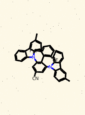 Cc1ccc2c(c1)c1ccccc1n2-c1cc(C#N)cc(-n2c3ccccc3c3cc(C)ccc32)c1-c1c(C(F)(F)F)cccc1C(F)(F)F